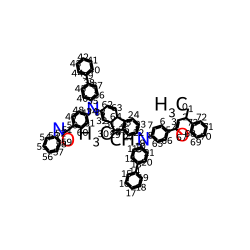 CCC1C=C(c2ccc(N(c3ccc(-c4ccccc4)cc3)c3ccc4c(c3)C(C)(C)C3C=C(N(c5ccc(-c6ccccc6)cc5)c5ccc(-c6nc7ccccc7o6)cc5)C=CC43)cc2)Oc2ccccc21